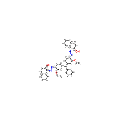 COc1cc(C(c2ccccc2)c2ccc(N=Nc3c(O)ccc4ccccc34)c(OC)c2)ccc1N=Nc1c(O)ccc2ccccc12